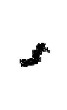 Cn1c(Br)cnc1C(=O)Nc1ccc(C(=O)N2CCC(C(O)O)CC2)c(Cl)c1